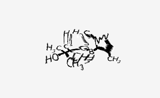 Cc1cnn(C)c1BOC(C)(C)C(C)(C)O